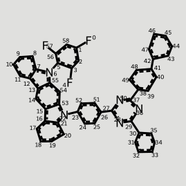 Fc1cc(F)c(-n2c3ccccc3c3cc4c5ccccc5n(-c5ccc(-c6nc(-c7ccccc7)nc(-c7ccc(-c8ccccc8)cc7)n6)cc5)c4cc32)c(F)c1